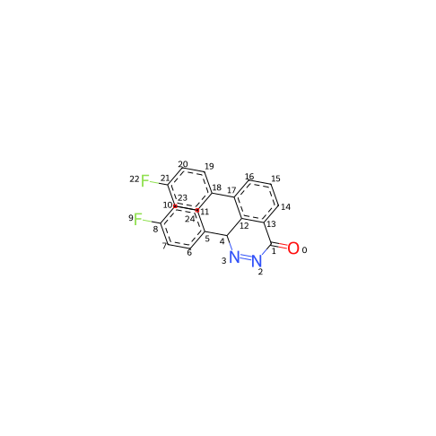 O=C1N=NC(c2ccc(F)cc2)c2c1cccc2-c1ccc(F)cc1